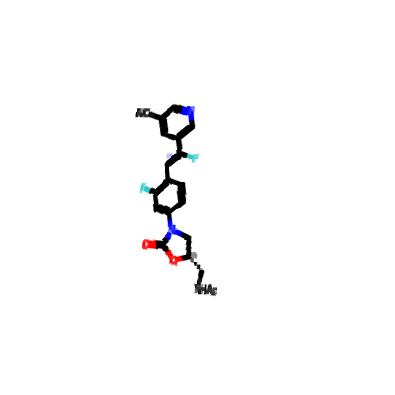 CC(=O)NC[C@H]1CN(c2ccc(/C=C(\F)c3cncc(C#N)c3)c(F)c2)C(=O)O1